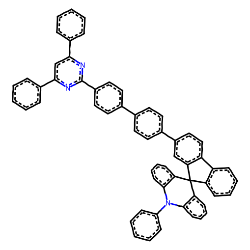 c1ccc(-c2cc(-c3ccccc3)nc(-c3ccc(-c4ccc(-c5ccc6c(c5)C5(c7ccccc7-6)c6ccccc6N(c6ccccc6)c6ccccc65)cc4)cc3)n2)cc1